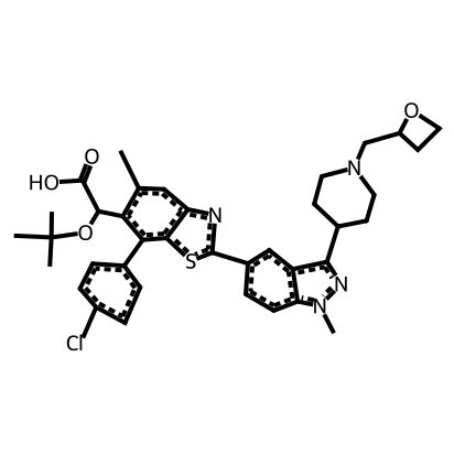 Cc1cc2nc(-c3ccc4c(c3)c(C3CCN(CC5CCO5)CC3)nn4C)sc2c(-c2ccc(Cl)cc2)c1C(OC(C)(C)C)C(=O)O